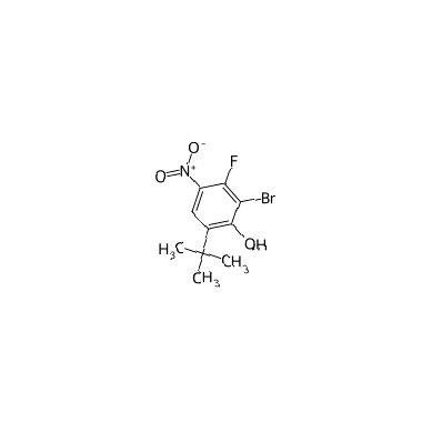 CC(C)(C)c1cc([N+](=O)[O-])c(F)c(Br)c1O